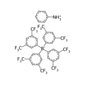 FC(F)(F)c1cc([B-](c2cc(C(F)(F)F)cc(C(F)(F)F)c2)(c2cc(C(F)(F)F)cc(C(F)(F)F)c2)c2cc(C(F)(F)F)cc(C(F)(F)F)c2)cc(C(F)(F)F)c1.[NH3+]c1ccccc1